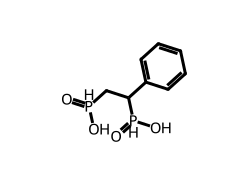 O=[PH](O)CC(c1ccccc1)[PH](=O)O